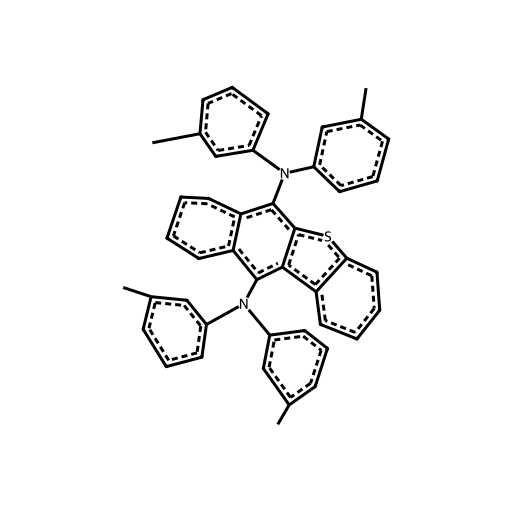 Cc1cccc(N(c2cccc(C)c2)c2c3ccccc3c(N(c3cccc(C)c3)c3cccc(C)c3)c3c2sc2ccccc23)c1